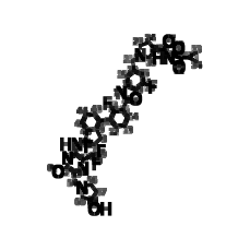 COc1nc(N[C@@H]2CCc3c(-c4cccc(-c5nc6cc(CN7CC[C@@H](C(=O)NS(=O)(=O)C8CC8)C7)cc(F)c6o5)c4F)cccc32)c(C(F)(F)F)nc1CN1CC[C@@H](O)C1